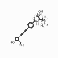 CC(C)(N)C(NC(=O)c1ccc(C#CC#C[C@H]2C[C@@H](O)[C@@H]2CO)cc1)C(=O)NO